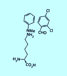 CNc1ccccc1.NCCCC[C@H](N)C(=O)O.O=Cc1ccc(Cl)cc1Cl